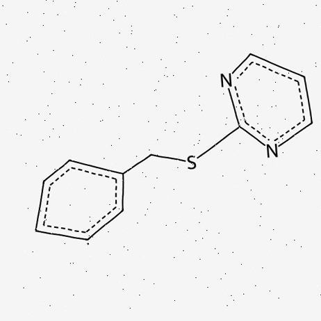 [c]1cccc(CSc2ncccn2)c1